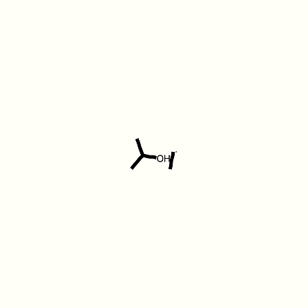 CC(C)O.[CH2]C